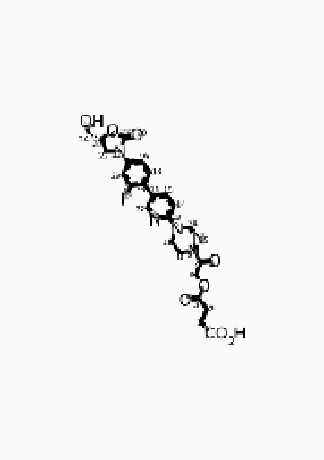 O=C(O)CCC(=O)OCC(=O)N1CCN(c2ccc(-c3ccc(N4C[C@H](CO)OC4=O)cc3F)cn2)C=N1